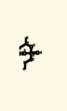 CCSP(=O)(O)OC(C)C